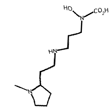 CN1CCCC1CCNCCCN(O)C(=O)O